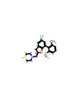 Cc1cccc(C)c1-c1cc(Cl)cc2c1OC(CN1CCSCC1)C2